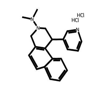 CN(C)N1Cc2ccc3ccccc3c2C(c2cccnc2)C1.Cl.Cl